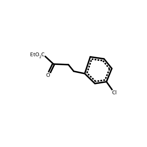 CCOC(=O)C(=O)CCc1cccc(Cl)c1